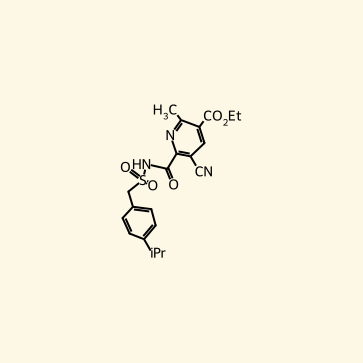 CCOC(=O)c1cc(C#N)c(C(=O)NS(=O)(=O)Cc2ccc(C(C)C)cc2)nc1C